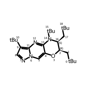 CC(C)(C)C[C@H]1Oc2cn3ncc(C(C)(C)C)c3nc2N(C(C)(C)C)[C@H]1CC(C)(C)C